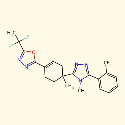 Cn1c(-c2ccccc2C(F)(F)F)nnc1C1(C)CC=C(c2nnc(C(C)(F)F)o2)CC1